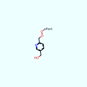 CCCCCOOCc1ccc(CO)cn1